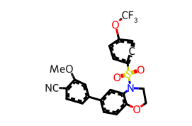 COc1cc(-c2ccc3c(c2)N(S(=O)(=O)c2ccc(OC(F)(F)F)cc2)CCO3)ccc1C#N